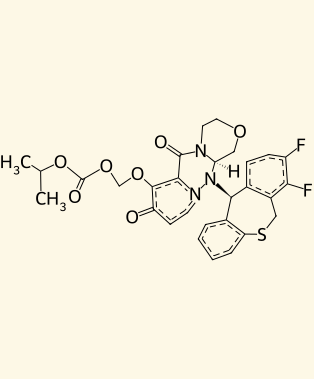 CC(C)OC(=O)OCOc1c2n(ccc1=O)N([C@@H]1c3ccccc3SCc3c1ccc(F)c3F)[C@@H]1COCCN1C2=O